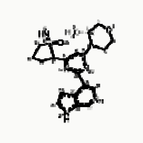 C[C@@H]1COCCN1c1cc(C2CCCS2(=N)=O)nc(-c2cncc3[nH]ccc23)n1